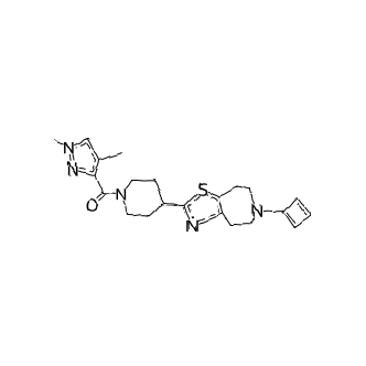 Cc1cn(C)nc1C(=O)N1CCC(c2nc3c(s2)CCN(C2=CC=C2)CC3)CC1